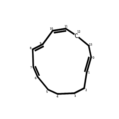 [C]1=C/CCCC\C=C/C=C/C=C\CC/1